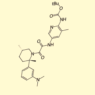 Cc1cc(NC(=O)C(=O)N2C[C@@H](C)CC[C@@]2(C)c2cccc(N(C)C)c2)cnc1NC(=O)OC(C)(C)C